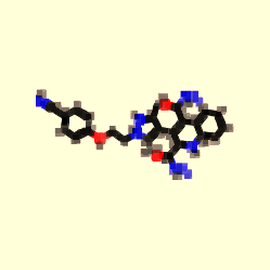 Cc1nn(CCOc2ccc(C#N)cc2)c(C)c1-c1c(C(N)=O)nc2ccccc2c1C(N)=O